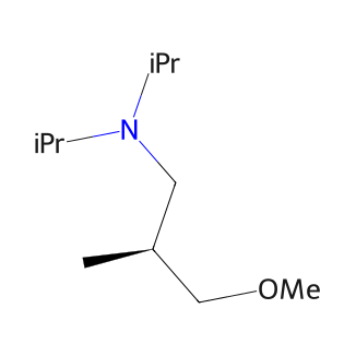 COC[C@@H](C)CN(C(C)C)C(C)C